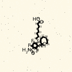 N[S+]([O-])c1c(F)c(F)c(SCCCCCCCC(=O)O)c(NC2CCCCCCC2)c1F